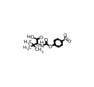 CC(C)(C)[C@H](NC(=O)Oc1ccc([N+](=O)[O-])cc1)C(=O)O